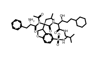 CNS(=O)(=O)c1ccc2c(c1)C([C@@](CC(C)C)(C(=O)NC(C(=O)NCC(C)C)[C@@H](O)CCC1CCCCC1)N(C(C)=O)C(=O)[C@@H](N)Cc1ccccc1)CO2